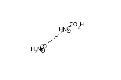 NC(=O)OOCCCCCCCCCCCCNC(=O)CCC(=O)O